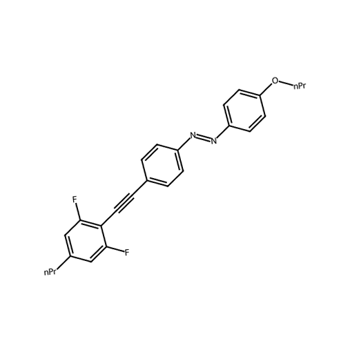 CCCOc1ccc(N=Nc2ccc(C#Cc3c(F)cc(CCC)cc3F)cc2)cc1